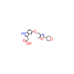 Cc1oc(C2CCOCC2)nc1CCOc1ccc2[nH]cc(CC(=O)O)c2c1